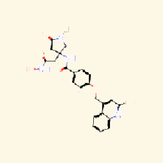 Cc1cc(COc2ccc(C(=O)NC3(CC(=O)NO)CC(=O)N(C)C3)cc2)c2ccccc2n1